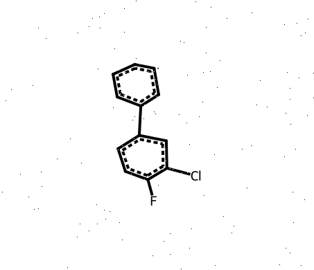 Fc1ccc(-c2c[c]ccc2)cc1Cl